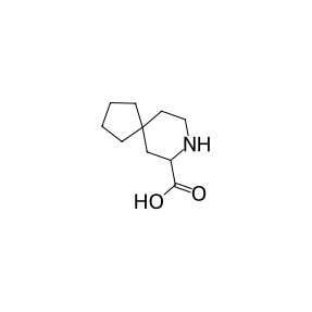 O=C(O)C1CC2(CCCC2)CCN1